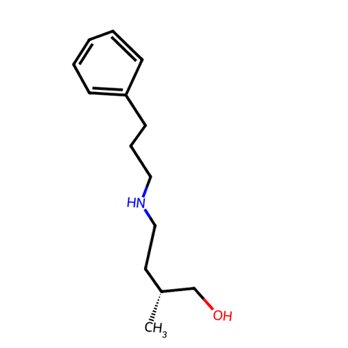 C[C@@H](CO)CCNCCCc1ccccc1